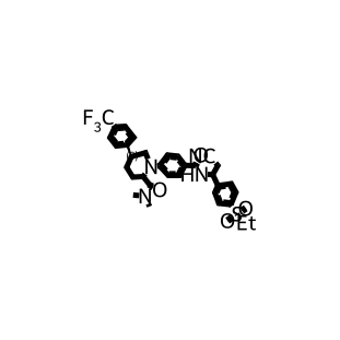 CCS(=O)(=O)c1ccc(C(CC#N)NC(=O)c2ccc(N3C[C@H](c4ccc(C(F)(F)F)cc4)CCC3C(=O)N(C)C)cc2)cc1